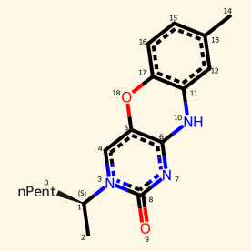 CCCCC[C@H](C)n1cc2c(nc1=O)Nc1cc(C)ccc1O2